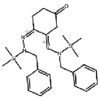 C[Si](C)(C)N(Cc1ccccc1)/N=C1/CCC(=O)C/C1=N\N(Cc1ccccc1)[Si](C)(C)C